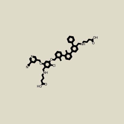 Cc1c(COc2cc(OCc3cncc(C#N)c3)c(CNCCCC(=O)O)cc2Cl)cccc1-c1cccc(-c2ccc(CNCCCC(=O)O)c(-c3ccccc3)c2)c1C